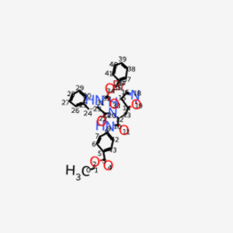 CCOC(=O)c1ccc(NC(=O)[C@H](CC2CC(Br)=NO2)NC(=O)[C@H](Cc2ccccc2)NC(=O)OCc2ccccc2)cc1